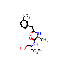 CCOC(=O)[C@H](CO)NC(=O)[C@H](C)NC(=O)Cc1cccc([N+](=O)[O-])c1